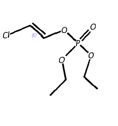 CCOP(=O)(O/C=C/Cl)OCC